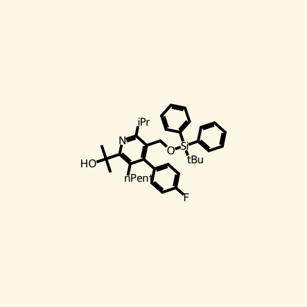 CCCCCc1c(C(C)(C)O)nc(C(C)C)c(CO[Si](c2ccccc2)(c2ccccc2)C(C)(C)C)c1-c1ccc(F)cc1